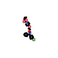 CC(C)(C)OC(=O)N1CCC(OCCO/N=C(\c2ccccc2)c2ccc(Cl)cc2)CC1